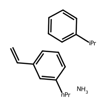 C=Cc1cccc(CCC)c1.CC(C)c1ccccc1.N